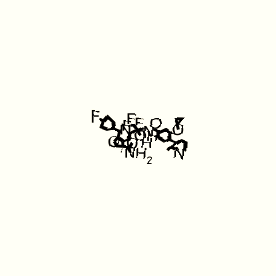 Cc1ncccc1-c1ccc(C(=O)NCC(O)(c2cc3c(c(-c4ccc(F)cc4)n2)OC[C@]3(C)C(N)=O)C(F)(F)F)cc1OC1CC1